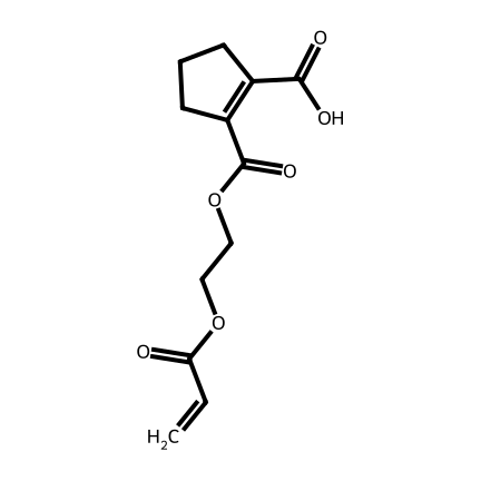 C=CC(=O)OCCOC(=O)C1=C(C(=O)O)CCC1